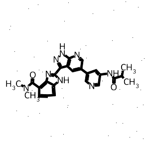 CC(C)C(=O)Nc1cncc(-c2cnc3[nH]nc(-c4nc5c(C(=O)N(C)C)cccc5[nH]4)c3c2)c1